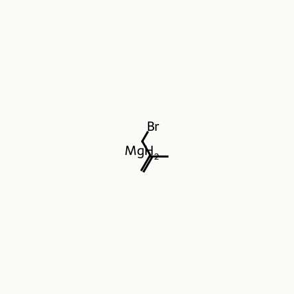 C=C(C)CBr.[MgH2]